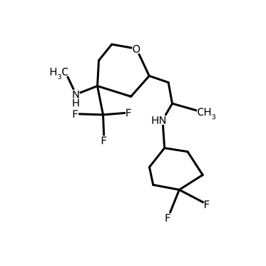 CNC1(C(F)(F)F)CCOC(CC(C)NC2CCC(F)(F)CC2)C1